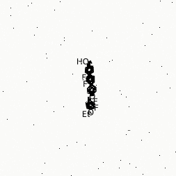 CCOc1ccc(COc2ccc(-c3ccc(C4CCC(C(C)O)CC4)c(F)c3F)cc2)c(F)c1F